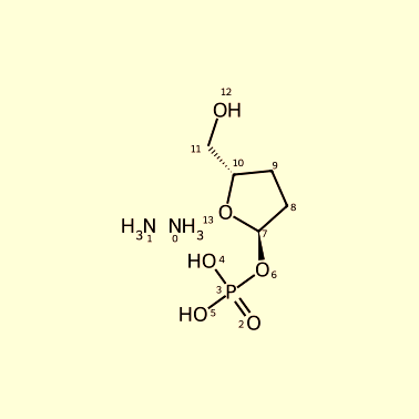 N.N.O=P(O)(O)O[C@@H]1CC[C@@H](CO)O1